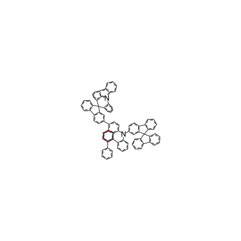 c1ccc(-c2ccccc2-c2ccccc2N(c2ccc3c(c2)C2(c4ccccc4-c4ccccc42)c2ccccc2-3)c2ccc(-c3ccc4c(c3)C3(c5ccccc5-4)c4ccccc4-n4c5ccccc5c5cccc3c54)c3ccccc23)cc1